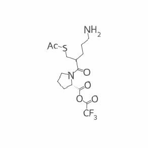 CC(=O)SCC(CCCN)C(=O)N1CCC[C@H]1C(=O)OC(=O)C(F)(F)F